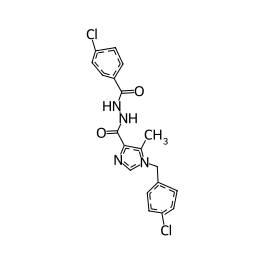 Cc1c(C(=O)NNC(=O)c2ccc(Cl)cc2)ncn1Cc1ccc(Cl)cc1